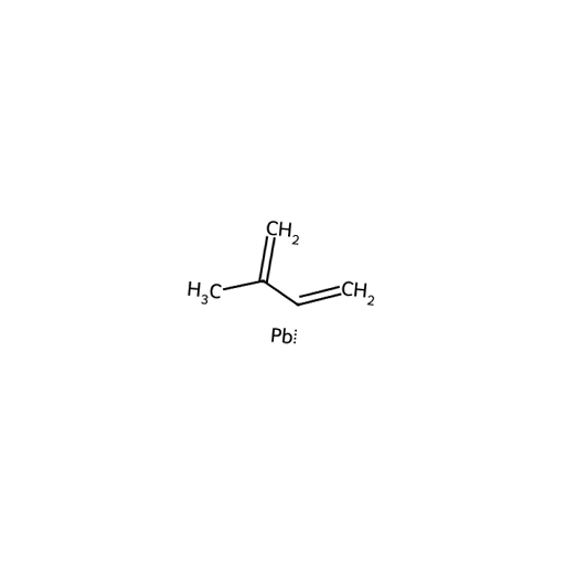 C=CC(=C)C.[Pb]